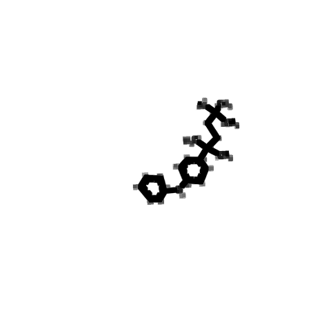 CC(=O)C(C)(C)CCC(C)(C)c1ccc(Oc2ccccc2)cc1